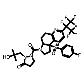 CC(C)(O)CN1C(=O)CCN1C(=O)N1CCC2(S(=O)(=O)c3ccc(F)cc3)c3ccc(C(F)(C(F)(F)F)C(F)(F)F)nc3CCC12